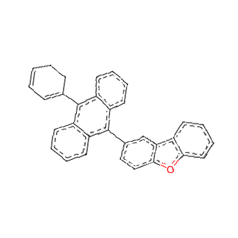 C1=CCCC(c2c3ccccc3c(-c3ccc4oc5ccccc5c4c3)c3ccccc23)=C1